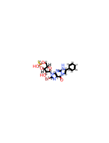 O=c1c2nc(Br)n([C@@H]3O[C@@H]4COP(O)(=S)O[C@H]4[C@H]3O)c2nc2[nH]c(-c3ccccc3)cn12